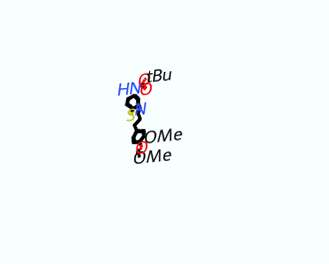 COCOc1ccc(/C=C/c2nc3cc(NC(=O)OC(C)(C)C)ccc3s2)cc1OC